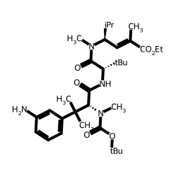 CCOC(=O)/C(C)=C/[C@H](C(C)C)N(C)C(=O)[C@@H](NC(=O)[C@H](N(C)C(=O)OC(C)(C)C)C(C)(C)c1cccc(N)c1)C(C)(C)C